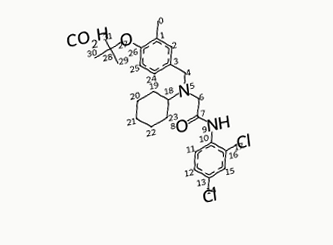 Cc1cc(CN(CC(=O)Nc2ccc(Cl)cc2Cl)C2CCCCC2)ccc1OC(C)(C)C(=O)O